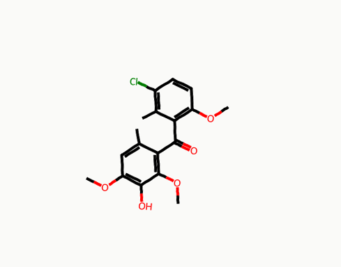 COc1cc(C)c(C(=O)c2c(OC)ccc(Cl)c2C)c(OC)c1O